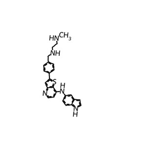 CNCCNCc1ccc(-c2cc3nccc(Nc4ccc5[nH]ccc5c4)c3s2)cc1